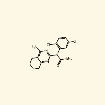 NC(=O)N(c1nc2c(c(C(F)(F)F)n1)CCCC2)c1cc(Cl)ccc1Cl